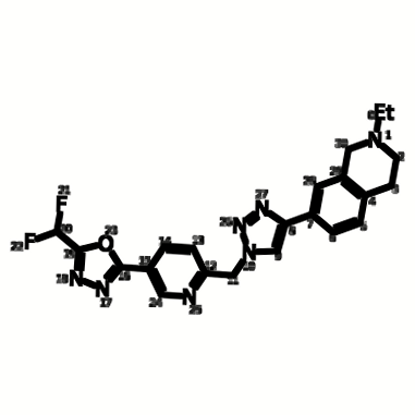 CCN1CCc2ccc(-c3cn(Cc4ccc(-c5nnc(C(F)F)o5)cn4)nn3)cc2C1